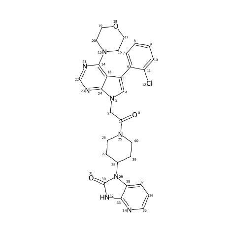 O=C(Cn1cc(-c2ccccc2Cl)c2c(N3CCOCC3)ncnc21)N1CCC(n2c(=O)[nH]c3ncccc32)CC1